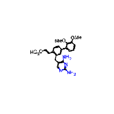 COc1cccc(-c2ccc(C=CC(=O)O)c(Cc3cnc(N)nc3N)c2)c1OC